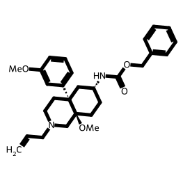 C=CCN1CC[C@@]2(c3cccc(OC)c3)C[C@H](NC(=O)OCc3ccccc3)CC[C@]2(OC)C1